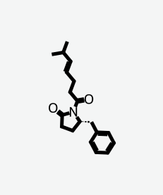 CC(C)/C=C/CCC(=O)N1C(=O)CC[C@H]1Cc1ccccc1